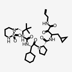 C=CCNC(=O)C(=O)C(CC1CC1)NC(=O)[C@@H]1CCCN1C(=O)[C@@H](NC(=O)N[C@H](CN1CCCNS1(=O)=O)C(C)(C)C)C1CCCCC1